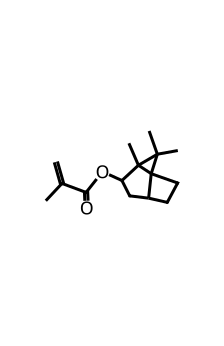 C=C(C)C(=O)OC1CC2CCC23C(C)(C)C13C